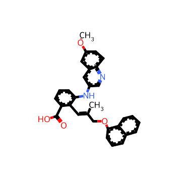 COc1ccc2ncc(Nc3cccc(C(=O)O)c3C=C(C)COc3cccc4ccccc34)cc2c1